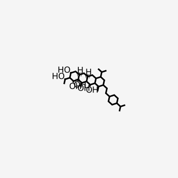 CC(C)C1CCC(CCC2CC(C(C)C)C3C[C@H]4C[C@H]5CC(O)C(C(C)O)C(O)[C@@]5(O)C(O)C4C(O)C3C2C)CC1